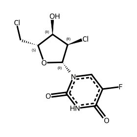 O=c1[nH]c(=O)n([C@@H]2O[C@H](CCl)[C@@H](O)[C@H]2Cl)cc1F